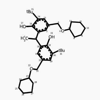 CC(c1cc(COC2CCCCC2)cc(C(C)(C)C)c1O)c1cc(COC2CCCCC2)cc(C(C)(C)C)c1O